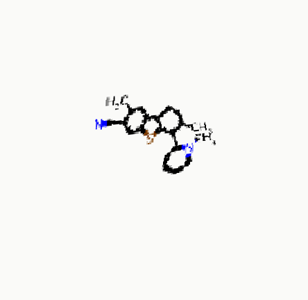 Cc1cc2c(cc1C#N)sc1c(-c3cccc[n+]3C)c(C)ccc12